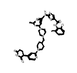 Cc1nc(Nc2ncc(C(=O)Nc3c(C)cccc3Cl)s2)cc(N2CCN(CC3CCN(c4cc(C5CCC(=O)NC5=O)ccn4)CC3)CC2)n1